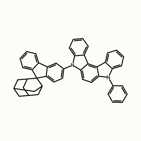 c1ccc(-n2c3ccccc3c3c4c5ccccc5n(-c5ccc6c(c5)-c5ccccc5C65C6CC7CC(C6)CC5C7)c4ccc32)cc1